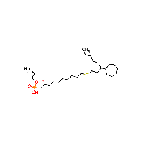 CCCCCC(CCSCCCCCCCCC([O])CP(=O)(O)OCCC)C1CCCCCC1